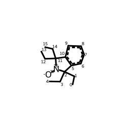 CCC1(CC)c2ccccc2C(CC)(CC)N1[O]